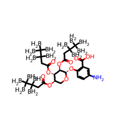 BC(B)(B)C(B)(B)CC(=O)O[C@@H]1[C@@H](OC(=O)CC(B)(B)C(B)(B)B)[C@H](Oc2ccc(N)cc2C(=O)O)OC[C@H]1OC(=O)CC(B)(B)C(B)(B)B